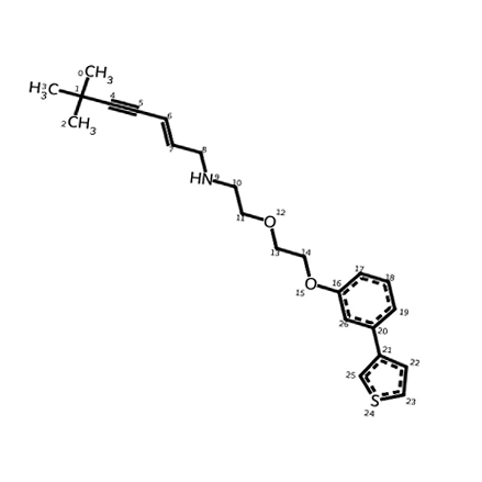 CC(C)(C)C#CC=CCNCCOCCOc1cccc(-c2ccsc2)c1